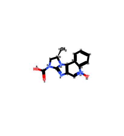 C[C@H]1CN(C(=O)O)c2nc3c[n+]([O-])c4ccccc4c3n21